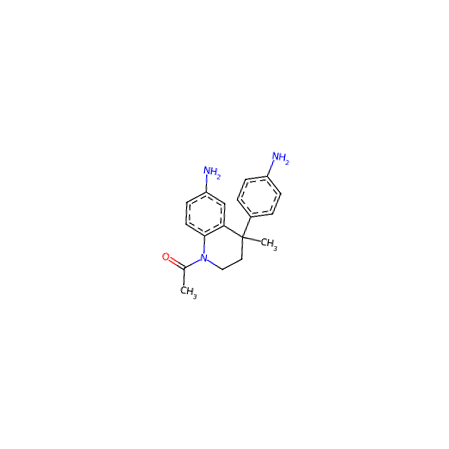 CC(=O)N1CCC(C)(c2ccc(N)cc2)c2cc(N)ccc21